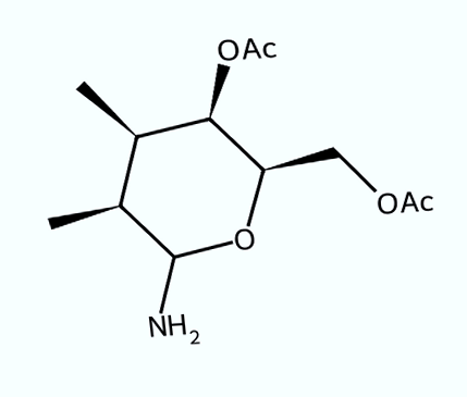 CC(=O)OC[C@H]1OC(N)[C@@H](C)[C@@H](C)[C@H]1OC(C)=O